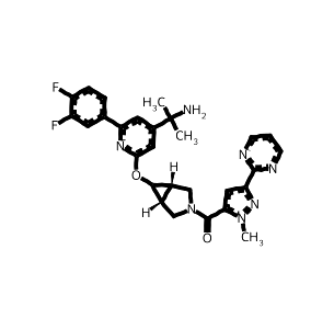 Cn1nc(-c2ncccn2)cc1C(=O)N1C[C@@H]2C(Oc3cc(C(C)(C)N)cc(-c4ccc(F)c(F)c4)n3)[C@@H]2C1